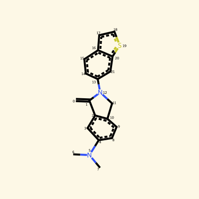 C=C1c2cc(N(C)C)ccc2CN1c1ccc2ccsc2c1